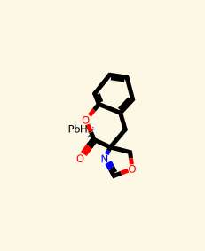 O=C1Oc2ccccc2CC12COC=N2.[PbH2]